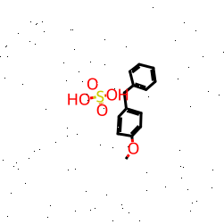 COc1ccc(Cc2ccccc2)cc1.O=S(=O)(O)O